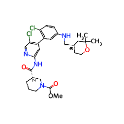 COC(=O)N1CCC[C@H](C(=O)Nc2cc(-c3cc(NC[C@@H]4CCOC(C)(C)C4)ccc3Cl)c(Cl)cn2)C1